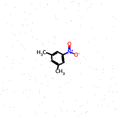 Cc1[c]c(C)cc([N+](=O)[O-])c1